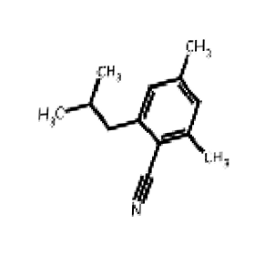 Cc1cc(C)c(C#N)c(CC(C)C)c1